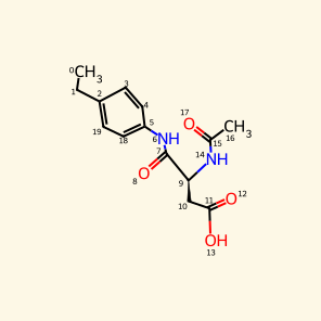 CCc1ccc(NC(=O)[C@H](CC(=O)O)NC(C)=O)cc1